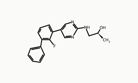 C[C@H](O)CNc1ncc(-c2cccc(-c3ccccc3)c2F)cn1